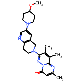 COC1CCN(c2cnc3c(c2)CN(c2nn4c(=O)cc(C)nc4c(C)c2C)CC3)CC1